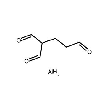 O=CCCC(C=O)C=O.[AlH3]